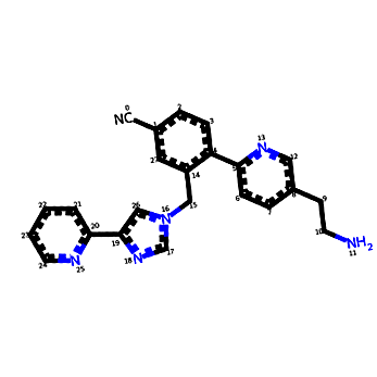 N#Cc1ccc(-c2ccc(CCN)cn2)c(Cn2cnc(-c3ccccn3)c2)c1